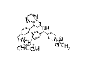 Cn1ccc2ccc(-c3cc(NC(c4cccnc4)C4CCN(S(C)(=O)=O)CC4)cc4nccnc34)cc21.O=CO